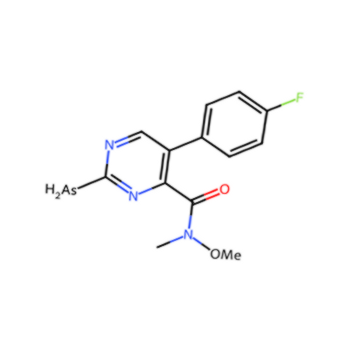 CON(C)C(=O)c1nc([AsH2])ncc1-c1ccc(F)cc1